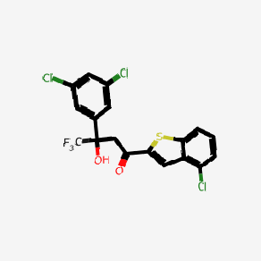 O=C(CC(O)(c1cc(Cl)cc(Cl)c1)C(F)(F)F)c1cc2c(Cl)cccc2s1